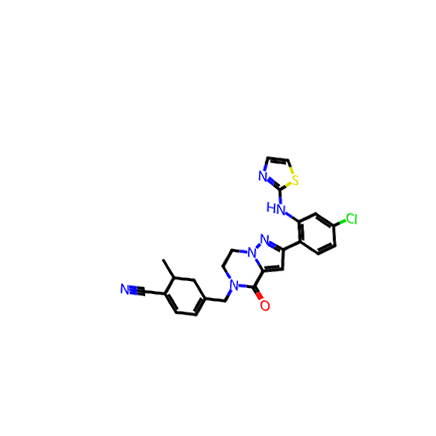 CC1CC(CN2CCn3nc(-c4ccc(Cl)cc4Nc4nccs4)cc3C2=O)=CC=C1C#N